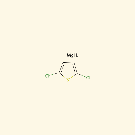 Clc1ccc(Cl)s1.[MgH2]